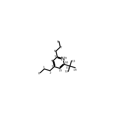 CCCc1cc(CCC)nc(C(C)(C)C)c1